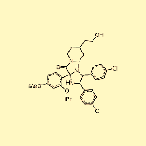 COc1ccc(C2(C(=O)N3CCC(CCO)CC3)NC(c3ccc(Cl)cc3)C(c3ccc(Cl)cc3)N2)c(OC(C)C)c1